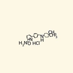 CC1(C)CCC(NCc2ccc(-c3cccc(C(N)=O)n3)cc2)CC1.Cl